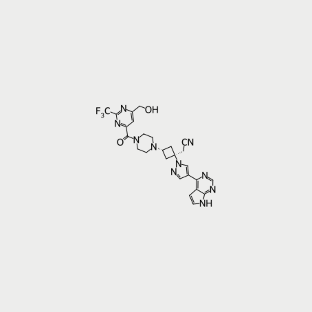 N#CC[C@]1(n2cc(-c3ncnc4[nH]ccc34)cn2)C[C@H](N2CCN(C(=O)c3cc(CO)nc(C(F)(F)F)n3)CC2)C1